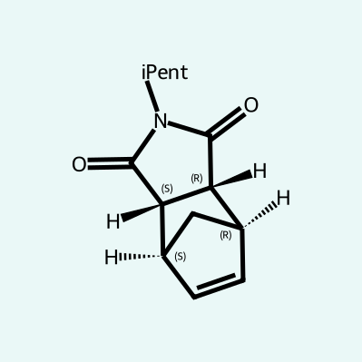 CCCC(C)N1C(=O)[C@@H]2[C@H](C1=O)[C@H]1C=C[C@@H]2C1